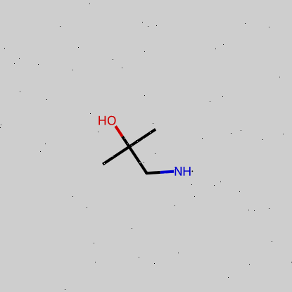 CC(C)(O)C[NH]